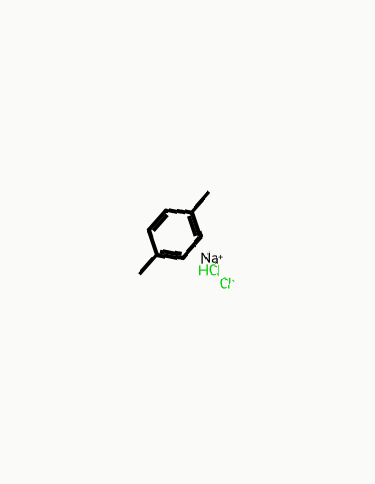 Cc1ccc(C)cc1.Cl.[Cl-].[Na+]